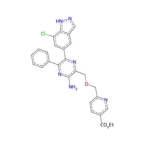 CCOC(=O)c1ccc(COCc2nc(-c3cc(Cl)c4[nH]ncc4c3)c(-c3ccccc3)nc2N)nc1